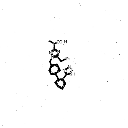 CC(C)Cc1nc(C(C)C(=O)O)nn1Cc1ccc(-c2ccccc2-c2nnn[nH]2)cc1